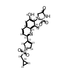 O=C1CN(c2c(O)cc3ccc(C4=CCN(S(=O)(=O)CC5CC5)C4)nc3c2F)S(=O)(=O)N1